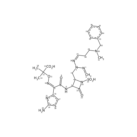 C=NN(CC1C(NC(=O)/C(=N\OC(C)(C)C(=O)O)c2csc(N)n2)C(=O)N1S(=O)(=O)O)/N=C\CCN(C)Cc1ccccc1